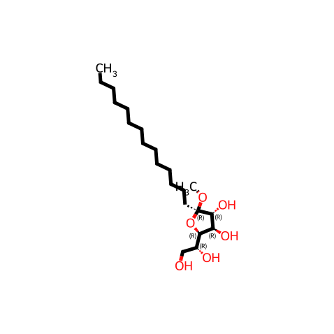 CCCCCCCCCCCCCC[C@@]1(OC)O[C@H]([C@H](O)CO)[C@H](O)[C@H]1O